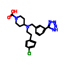 O=C(O)N1CCC(N(CCc2ccc(Cl)cc2)Cc2cccc(-c3nnn[nH]3)c2)CC1